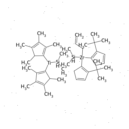 C=C[CH2][Zr]([C]1=C(C(C)(C)C)C=CC1)([C]1=C(C(C)(C)C)C=CC1)[SiH](C)C.CC1=C(C)C(C)[C]([Ti]([C]2=C(C)C(C)=C(C)C2C)[SiH](C)C)=C1C